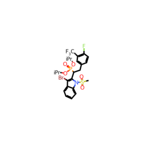 CC(C)OP(=O)(OC(C)C)C(Cc1ccc(F)c(C(F)(F)F)c1)c1c(Br)c2ccccc2n1S(C)(=O)=O